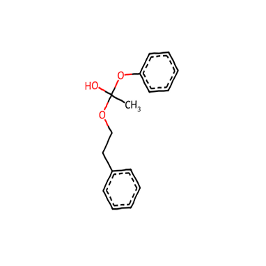 CC(O)(OCCc1ccccc1)Oc1ccccc1